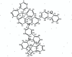 c1ccc2c(c1)-c1ccccc1C21c2ccccc2-c2c(N(c3ccc(-c4ccc5oc6ccccc6c5c4)cc3)c3ccc4c(c3)c3cccc5c3n4-c3ccccc3C53c4ccccc4-c4ccccc43)cccc21